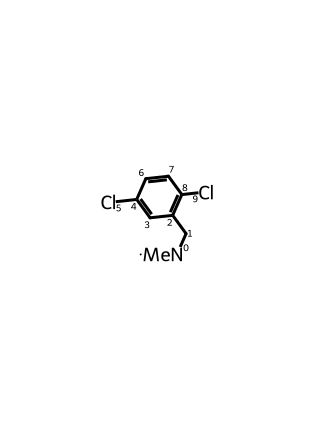 C[N]Cc1cc(Cl)ccc1Cl